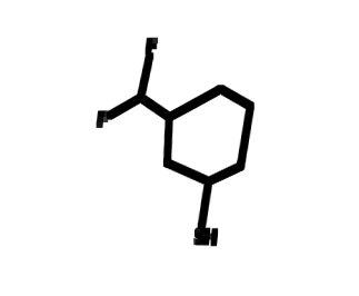 FC(F)C1CCCC(S)C1